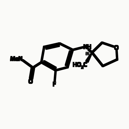 CNC(=O)c1ccc(N[C@@]2(C(=O)O)CCOC2)cc1F